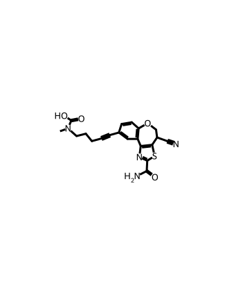 CN(CCCC#Cc1ccc2c(c1)-c1nc(C(N)=O)sc1C(C#N)CO2)C(=O)O